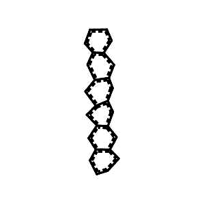 c1ccc2cc3cc4cc5cc6ccccc6cc5cc4cc3cc2c1